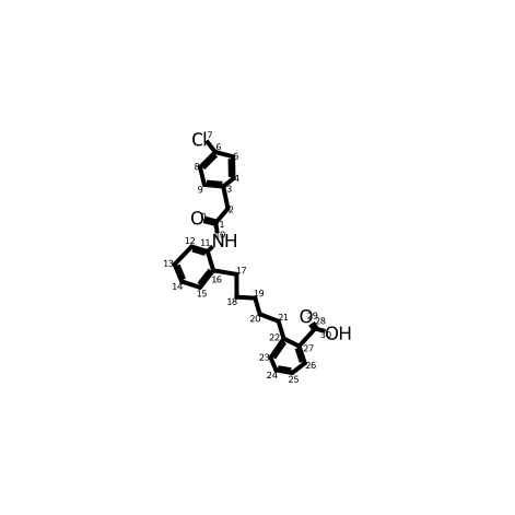 O=C(Cc1ccc(Cl)cc1)Nc1ccccc1CCCCCc1ccccc1C(=O)O